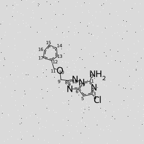 Nc1nc(Cl)cc2nc(COCc3ccccc3)nn12